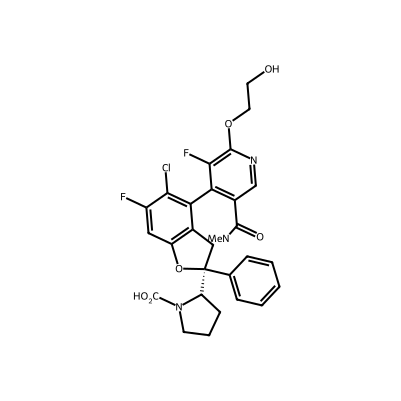 CNC(=O)c1cnc(OCCO)c(F)c1-c1c(Cl)c(F)cc2c1C[C@](c1ccccc1)(C1CCCN1C(=O)O)O2